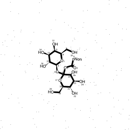 CCCCCCCCCC(=O)OC1(O[C@@H]2O[C@H](CO)[C@H](O)[C@H](O)[C@H]2O)O[C@H](CO)[C@@H](O)[C@H](O)[C@H]1O